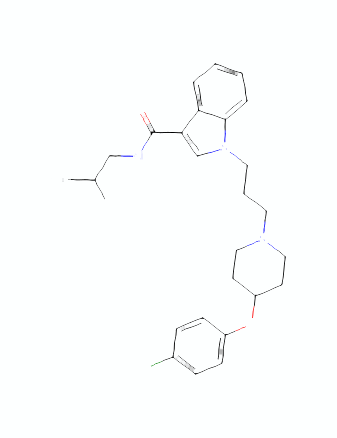 CCCCC(CC)CNC(=O)c1cn(CCCN2CCC(Oc3ccc(F)cc3)CC2)c2ccccc12